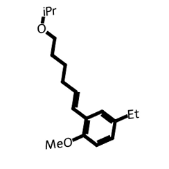 CCc1ccc(OC)c(/C=C/CCCCOC(C)C)c1